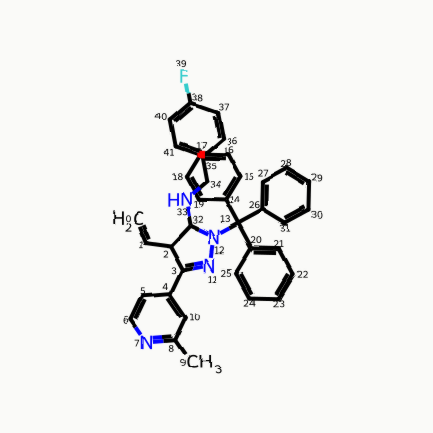 C=CC1C(c2ccnc(C)c2)=NN(C(c2ccccc2)(c2ccccc2)c2ccccc2)C1NCc1ccc(F)cc1